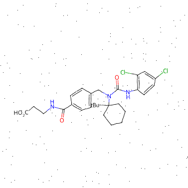 CC(C)(C)C1(N(Cc2ccc(C(=O)NCCC(=O)O)cc2)C(=O)Nc2ccc(Cl)cc2Cl)CCCCC1